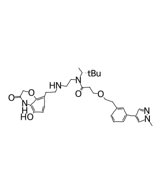 C[C@@H](N(CCNCCc1ccc(O)c2c1OCC(=O)N2)C(=O)CCOCCc1cccc(-c2cnn(C)c2)c1)C(C)(C)C